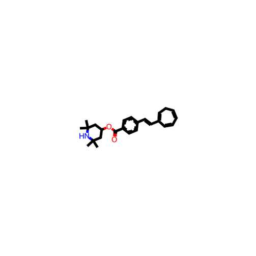 CC1(C)CC(OC(=O)c2ccc(/C=C/C3=CCC=CC=C3)cc2)CC(C)(C)N1